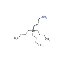 CCC[CH2][Sn](/[CH]=C/CN)([CH2]CCC)[CH2]CCC